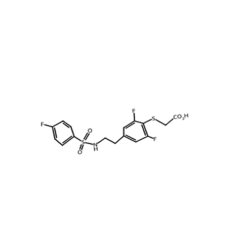 O=C(O)CSc1c(F)cc(CCNS(=O)(=O)c2ccc(F)cc2)cc1F